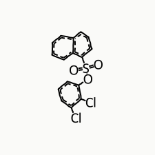 O=S(=O)(Oc1cccc(Cl)c1Cl)c1cccc2ccccc12